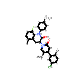 COc1cn(C(Cc2cc(F)ccc2C)C(=O)Nc2ccc(C(=O)O)cc2)c(=O)cc1-c1cc(Cl)ccc1C(C)=O